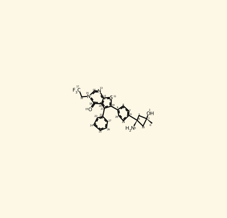 C[C@]1(O)C[C@@](N)(c2ccc(-c3sc4ncn(CC(F)(F)F)c(=O)c4c3-c3ccccc3)cc2)C1